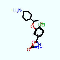 CC(Oc1cc(-c2n[nH]c(=O)o2)ccc1Br)[C@H]1CC[C@H](N)CC1.Cl